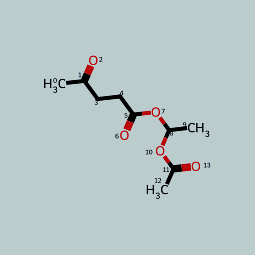 CC(=O)CCC(=O)OC(C)OC(C)=O